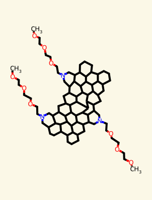 COCCOCCOCCN1CC2CCC3C4CCCC5CC6C7CN(CCOCCOCCOC)CC8C9CC%10CC%11CCCC%12C%13CCCC%14C%15CN(CCOCCOCCOC)CC%16C%17CC%18CC%19C(C1)C2C3C1C%19C2C%18C3C%17C%17C(C%10C(C%11%12)C(C%13%14)C%17C%15%16)C9C3C(C78)C2C6C1C54